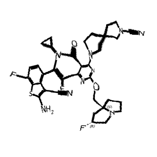 N#Cc1c(N)sc2c(F)ccc(-c3c(F)c4nc(OC[C@@]56CCCN5C[C@H](F)C6)nc(N5CCC6(CCN(C#N)C6)C5)c4c(=O)n3C3CC3)c12